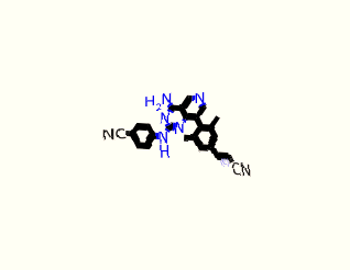 Cc1cc(/C=C/C#N)cc(C)c1-c1cncc2c(N)nc(Nc3ccc(C#N)cc3)nc12